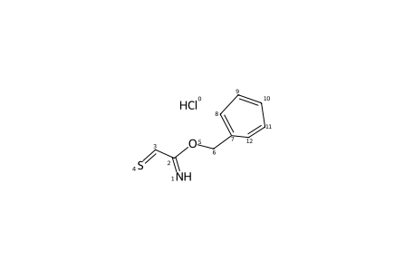 Cl.N=C(C=S)OCc1ccccc1